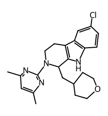 Cc1cc(C)nc(N2CCc3c([nH]c4ccc(Cl)cc34)C2CC2CCOCC2)n1